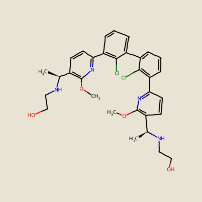 COc1nc(-c2cccc(-c3cccc(-c4ccc([C@H](C)NCCO)c(OC)n4)c3Cl)c2Cl)ccc1[C@H](C)NCCO